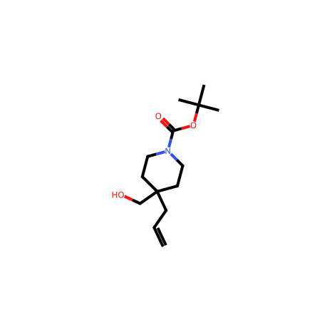 C=CCC1(CO)CCN(C(=O)OC(C)(C)C)CC1